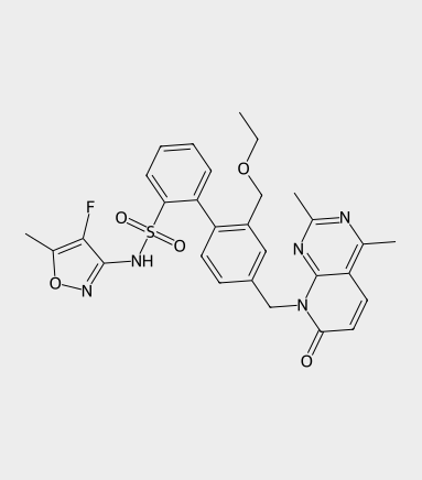 CCOCc1cc(Cn2c(=O)ccc3c(C)nc(C)nc32)ccc1-c1ccccc1S(=O)(=O)Nc1noc(C)c1F